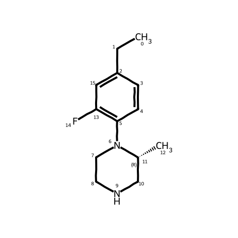 CCc1ccc(N2CCNC[C@H]2C)c(F)c1